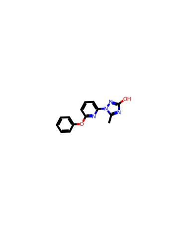 Cc1nc(O)nn1-c1cccc(Oc2ccccc2)n1